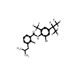 CC(C)Cc1cccc(C(=O)Nc2c(Br)cc(C(F)(C(F)(F)F)C(F)(F)F)cc2C(F)(F)F)c1F